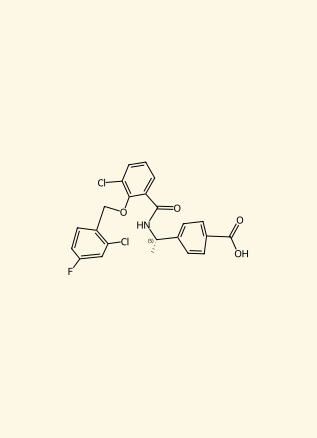 C[C@H](NC(=O)c1cccc(Cl)c1OCc1ccc(F)cc1Cl)c1ccc(C(=O)O)cc1